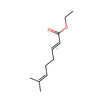 CCOC(=O)/C=C/CCC=C(C)C